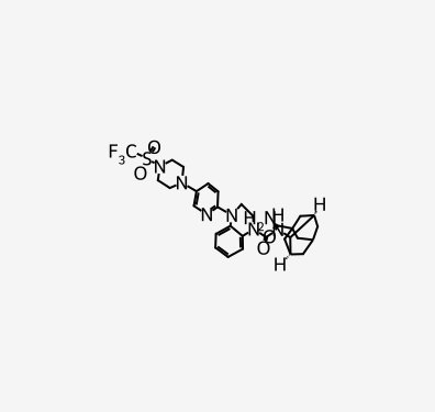 NC(=O)C12CC3C[C@H](C1)C(NC(=O)N1CCN(c4ccc(N5CCN(S(=O)(=O)C(F)(F)F)CC5)cn4)c4ccccc41)[C@@H](C3)C2